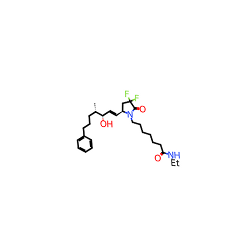 CCNC(=O)CCCCCCN1C(=O)C(F)(F)C[C@@H]1C=C[C@H](O)[C@@H](C)CCCc1ccccc1